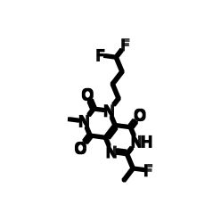 CC(F)c1nc2c(=O)n(C)c(=O)n(CCCC(F)F)c2c(=O)[nH]1